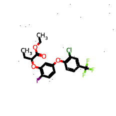 CCOC(=O)C(CC)Oc1cc(Oc2ccc(C(F)(F)F)cc2Cl)ccc1I